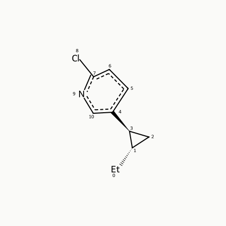 CC[C@H]1C[C@@H]1c1ccc(Cl)nc1